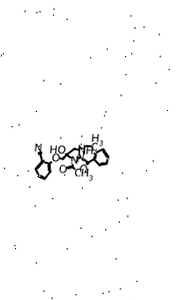 CCNCC(O)(COc1ccccc1C#N)N(NC(=O)c1ccccc1)C(C)=O